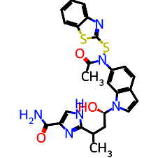 CC(=O)N(Sc1nc2ccccc2s1)c1ccc2ccn([C@H](O)CC(C)c3nc(C(N)=O)c[nH]3)c2c1